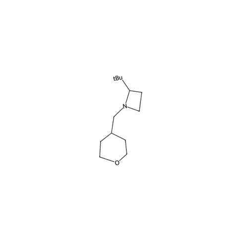 CC(C)(C)C1CCN1CC1CCOCC1